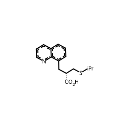 CC(C)SC[C@@H](Cc1cccc2cccnc12)C(=O)O